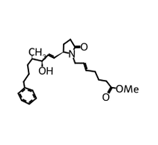 COC(=O)CCC/C=C/CN1C(=O)CC[C@@H]1/C=C/[C@@H](O)[C@@H](C)CCCc1ccccc1